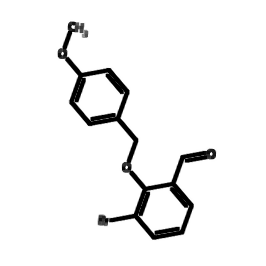 COc1ccc(COc2c(Br)cccc2C=O)cc1